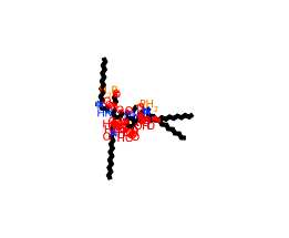 CCCCCCCCCCCC(=O)NCC(=O)O[C@@H]1[C@H](NC(=O)CN(C)C(=O)CCCCCCCCCCC)[C@@H](OCCOP)O[C@H](C(OCCOP)[C@@H]2O[C@H](CO)[C@@H](OP(=O)(O)O)[C@@](O)(C(=O)CNC(=O)CCCCCCCCCCC)[C@@H]2NC(=O)CN(C)C(=O)CCCCCCCCCCC)[C@H]1OP(=O)(O)O